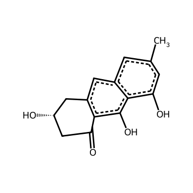 Cc1cc(O)c2c(O)c3c(cc2c1)C[C@@H](O)CC3=O